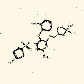 COc1ccccc1Oc1c(NS(=O)(=O)c2ccc(C(C)(C)C)cc2)nc(C)nc1OC[C@H]1COC(C)(C)O1